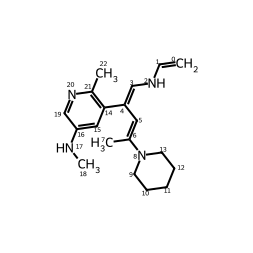 C=CN/C=C(\C=C(/C)N1CCCCC1)c1cc(NC)cnc1C